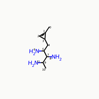 CC1=CC1CC(N)C(N)C(C)N